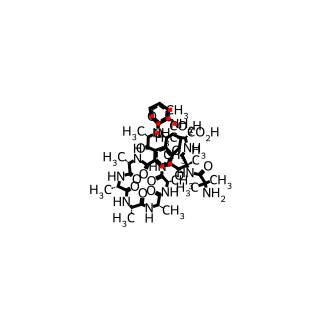 C[C@H](N)C(=O)N[C@@H](C)C(=O)c1c(C(=O)N[C@@H](C)C(=O)N[C@@H](C)C(=O)N[C@@H](C)C(=O)N[C@@H](C)C(=O)N[C@@H](C)C(=O)N[C@@H](C)C(=O)[C@@](C)(NC(=O)C(C)(C)N)C(=O)N[C@@H](C)C(=O)O)ccc2c1[C@@H](Oc1ccccc1C(=O)O)CCC2